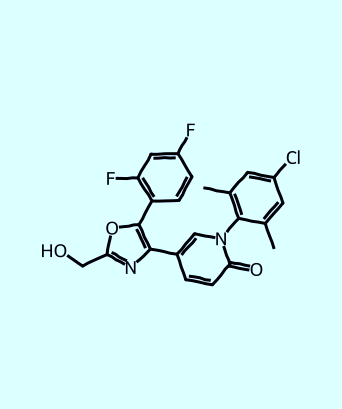 Cc1cc(Cl)cc(C)c1-n1cc(-c2nc(CO)oc2-c2ccc(F)cc2F)ccc1=O